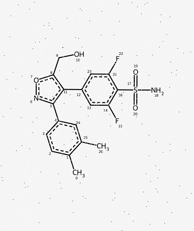 Cc1ccc(-c2noc(CO)c2-c2cc(F)c(S(N)(=O)=O)c(F)c2)cc1C